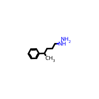 CC(CCCNN)c1ccccc1